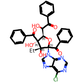 CC[C@@]1(O)[C@@](O)(C(=O)c2ccccc2)[C@@H](C(O)C(=O)c2ccccc2)O[C@@]1(C(=O)c1ccccc1)n1cnc2c(Cl)ncnc21